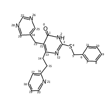 O=c1[nH]c(SCc2ccccc2)nc(CCc2ccccn2)c1Cc1cncnc1